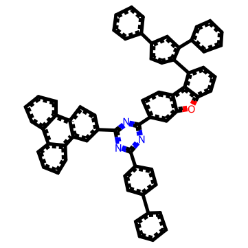 c1ccc(-c2ccc(-c3nc(-c4ccc5c(c4)oc4cccc(-c6ccc(-c7ccccc7)cc6-c6ccccc6)c45)nc(-c4ccc5c6ccccc6c6ccccc6c5c4)n3)cc2)cc1